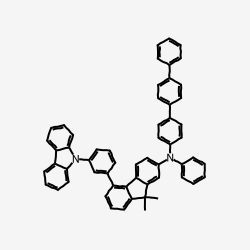 CC1(C)c2cc(N(c3ccccc3)c3ccc(-c4ccc(-c5ccccc5)cc4)cc3)ccc2-c2c(-c3cccc(-n4c5ccccc5c5ccccc54)c3)cccc21